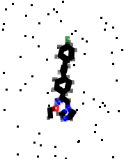 CCO/N=C(\Cn1ccnc1)c1ccc(C#Cc2ccc(F)cc2)cc1